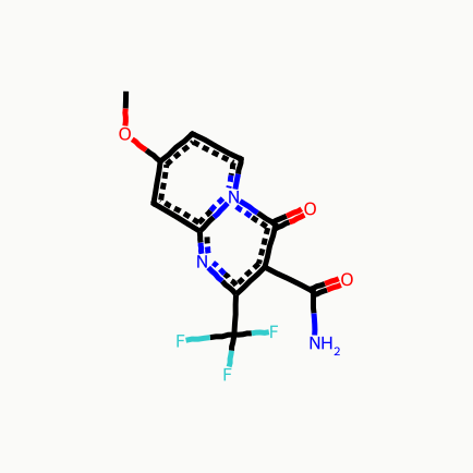 COc1ccn2c(=O)c(C(N)=O)c(C(F)(F)F)nc2c1